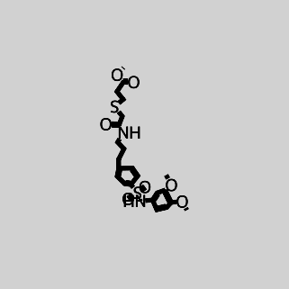 COC(=O)CCSCC(=O)NCCCc1ccc(S(=O)(=O)Nc2ccc(OC)c(OC)c2)cc1